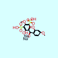 COc1ccc(C(=O)c2cc(S(=O)(=O)O)c(OC)c(S(=O)(=O)O)c2O)c(O)c1.[Na].[Na]